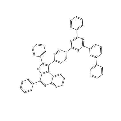 c1ccc(-c2cccc(-c3nc(-c4ccccc4)nc(-c4ccc(-c5c(-c6ccccc6)oc6c(-c7ccccc7)nc7ccccc7c56)cc4)n3)c2)cc1